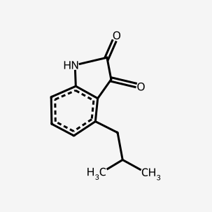 CC(C)Cc1cccc2c1C(=O)C(=O)N2